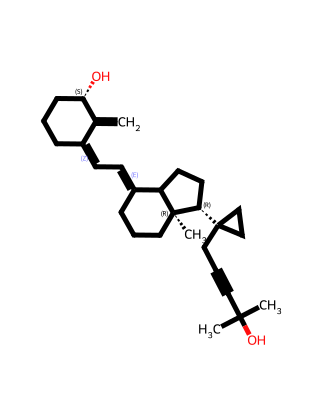 C=C1/C(=C\C=C2/CCC[C@@]3(C)C2CC[C@@H]3C2(CC#CC(C)(C)O)CC2)CCC[C@@H]1O